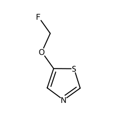 FCOc1cncs1